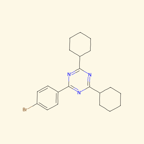 Brc1ccc(-c2nc(C3CCCCC3)nc(C3CCCCC3)n2)cc1